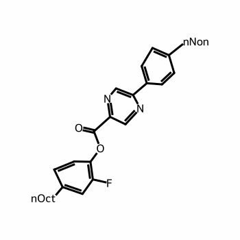 CCCCCCCCCc1ccc(-c2cnc(C(=O)Oc3ccc(CCCCCCCC)cc3F)cn2)cc1